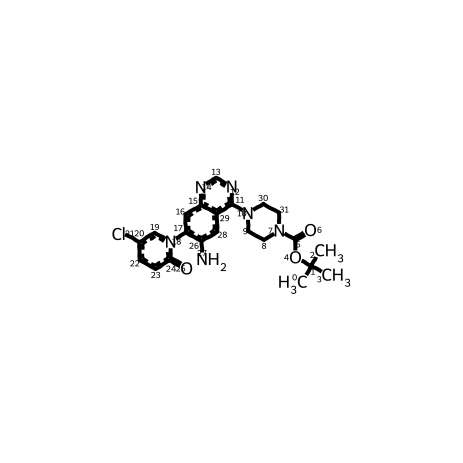 CC(C)(C)OC(=O)N1CCN(c2ncnc3cc(-n4cc(Cl)ccc4=O)c(N)cc23)CC1